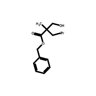 CC(C)CC(C)(CO)C(=O)OCc1ccccc1